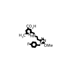 COc1nnc(CCNCc2cc(C(=O)O)cc(C)n2)n1Cc1ccc(F)cc1